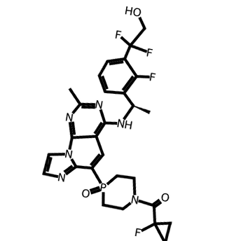 Cc1nc(N[C@H](C)c2cccc(C(F)(F)CO)c2F)c2cc(P3(=O)CCN(C(=O)C4(F)CC4)CC3)c3nccn3c2n1